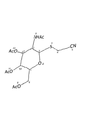 CC(=O)NC1C(SCC#N)OC(COC(C)=O)C(OC(C)=O)C1OC(C)=O